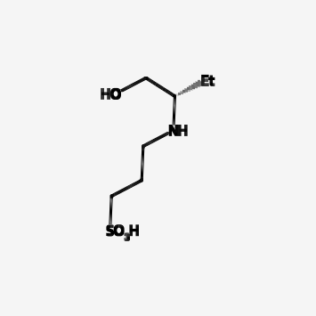 CC[C@@H](CO)NCCCS(=O)(=O)O